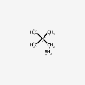 B.C[N+](C)(C)C